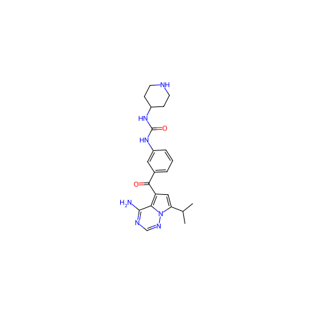 CC(C)c1cc(C(=O)c2cccc(NC(=O)NC3CCNCC3)c2)c2c(N)ncnn12